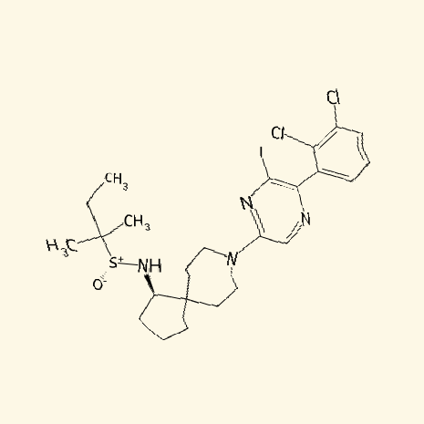 CCC(C)(C)[S@@+]([O-])N[C@@H]1CCCC12CCN(c1cnc(-c3cccc(Cl)c3Cl)c(I)n1)CC2